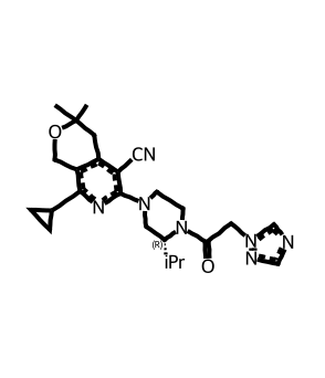 CC(C)[C@@H]1CN(c2nc(C3CC3)c3c(c2C#N)CC(C)(C)OC3)CCN1C(=O)Cn1cncn1